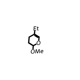 CCC1=COC(OC)CC1